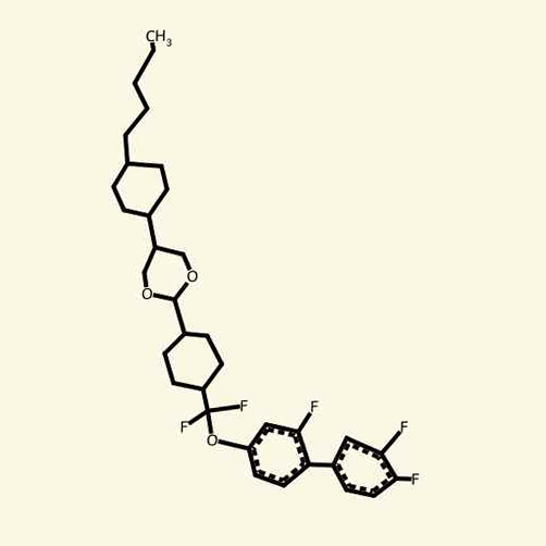 CCCCCC1CCC(C2COC(C3CCC(C(F)(F)Oc4ccc(-c5ccc(F)c(F)c5)c(F)c4)CC3)OC2)CC1